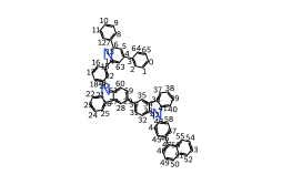 c1ccc(-c2cc(-c3ccccc3)nc(-c3cccc(-n4c5ccccc5c5cc(-c6ccc7c(c6)c6ccccc6n7-c6ccc(-c7cccc8ccccc78)cc6)ccc54)c3)c2)cc1